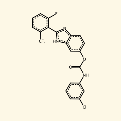 O=C(Nc1cccc(Cl)c1)Oc1ccc2nc(-c3c(F)cccc3C(F)(F)F)[nH]c2c1